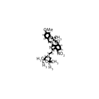 COc1ccc(CN(c2nn(CCN3CC(C)(C)OC(C)(C)C3)c3c([N+](=O)[O-])ccc(Cl)c23)S(C)(=O)=O)cc1